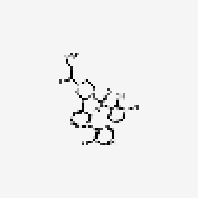 Cc1c(Cl)cccc1S(=O)(=O)N1CCN(C(=O)CCC(=O)O)CC1c1cccc(-c2ccncc2Cl)c1